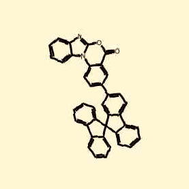 O=c1oc2nc3ccccc3n2c2ccc(-c3ccc4c(c3)C3(c5ccccc5-c5ccccc53)c3ccccc3-4)cc12